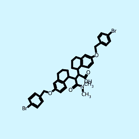 CN(C)C(=O)C(C1CCCc2cc(OCc3ccc(Br)cc3)ccc21)C(C(=O)O)C1CCCc2cc(OCc3ccc(Br)cc3)ccc21